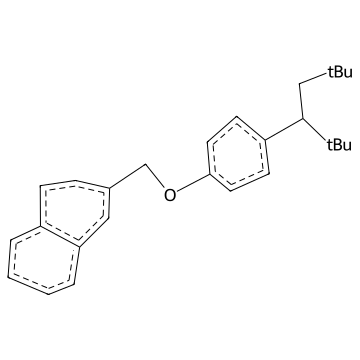 CC(C)(C)CC(c1ccc(OCc2ccc3ccccc3c2)cc1)C(C)(C)C